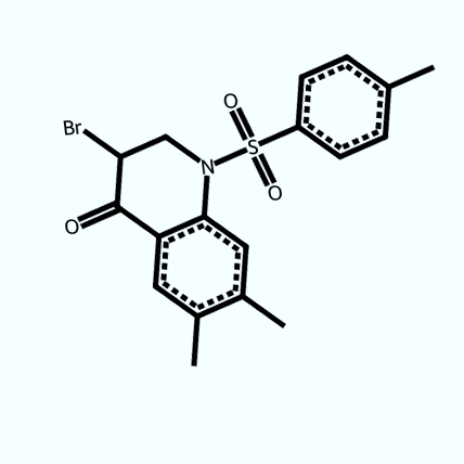 Cc1ccc(S(=O)(=O)N2CC(Br)C(=O)c3cc(C)c(C)cc32)cc1